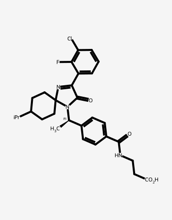 CC(C)C1CCC2(CC1)N=C(c1cccc(Cl)c1F)C(=O)N2[C@H](C)c1ccc(C(=O)NCCC(=O)O)cc1